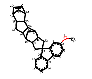 CCOc1ccc2c(c1)C1(CC3C(C1)C1CC3C3CC4C5C=CC(C5)C4C13)c1ccccc1-2